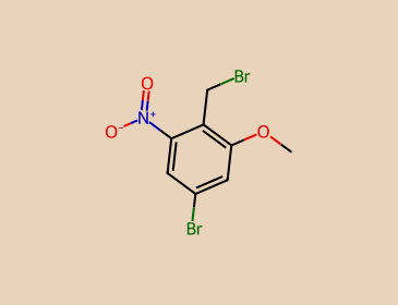 COc1cc(Br)cc([N+](=O)[O-])c1CBr